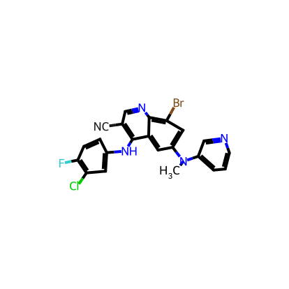 CN(c1cccnc1)c1cc(Br)c2ncc(C#N)c(Nc3ccc(F)c(Cl)c3)c2c1